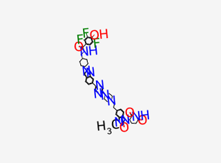 Cn1c(=O)n(C2CCC(=O)NC2=O)c2ccc(CCN3CCN(c4cnc(-c5ccc6cn([C@H]7CC[C@H](CNC(=O)c8cc(F)c(O)c(F)c8F)CC7)nc6c5)cn4)CC3)cc21